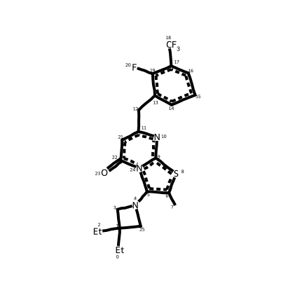 CCC1(CC)CN(c2c(C)sc3nc(Cc4cccc(C(F)(F)F)c4F)cc(=O)n23)C1